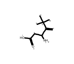 C=C(C(N)CC(=O)O)C(C)(C)C